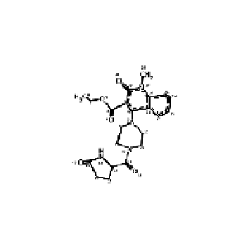 CCOC(=O)c1c(N2CCN(C(=O)C3CCC(=O)N3)CC2)c2ccccc2n(C)c1=O